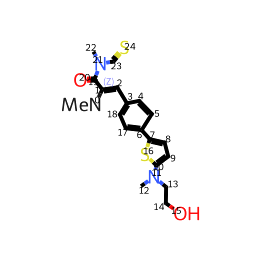 CN/C(=C\c1ccc(-c2ccc(N(C)CCO)s2)cc1)C(=O)N(C)C=S